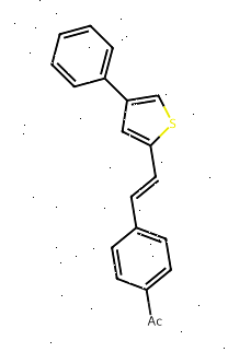 CC(=O)c1ccc(C=Cc2cc(-c3ccccc3)cs2)cc1